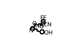 N#CC1CC(F)(F)CN1C(=O)CNC(=O)c1ccncc1C=CC1CCC(O)CC1